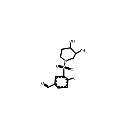 CC1CN(S(=O)(=O)c2cc(C=O)ccc2Cl)CCC1O